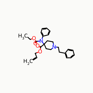 C=CCOC(=O)C1(N(C(=O)OCC)c2ccccc2)CCN(CCc2ccccc2)CC1